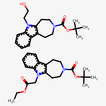 CC(C)(C)OC(=O)N1CCc2c(n(CCO)c3ccccc23)CC1.CCOC(=O)Cn1c2c(c3ccccc31)CCN(C(=O)OC(C)(C)C)CC2